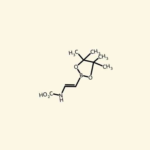 CC1(C)OB(C=CNC(=O)O)OC1(C)C